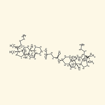 CC(C)CCC[C@@H](C)[C@@]1(C)CC[C@H]2[C@@H]3CC=C4C[C@@H](OC(=O)CCC(=O)O[C@H]5CC[C@@]6(C)C(=CC[C@@H]7[C@@H]6CC[C@@]6(C)[C@H]7CC[C@]6(C)[C@H](C)CCCC(C)C)C5)CC[C@]4(C)[C@H]3CC[C@@]21C